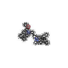 c1ccc(-n2c3ccc(-c4cccc(N(c5ccc6c(c5)C5(c7ccccc7-c7ccccc75)c5ccccc5-6)c5ccc6c(c5)oc5ccccc56)c4)cc3c3ccc4c(c32)-c2ccccc2C4(c2ccc3ccccc3c2)c2ccc3ccccc3c2)cc1